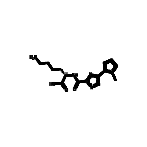 Cn1cccc1-c1cnn(C(=O)N[C@@H](CCCCN)C(=O)O)n1